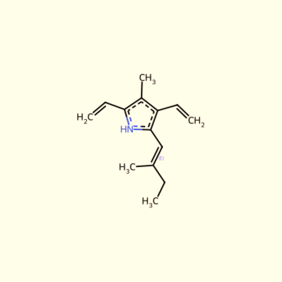 C=Cc1[nH]c(/C=C(\C)CC)c(C=C)c1C